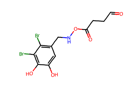 O=CCCC(=O)ONCc1cc(O)c(O)c(Br)c1Br